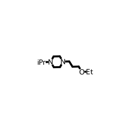 CCOCCCN1CCN(C(C)C)CC1